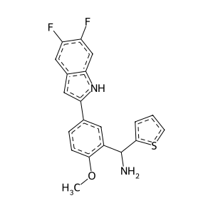 COc1ccc(-c2cc3cc(F)c(F)cc3[nH]2)cc1C(N)c1cccs1